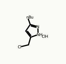 CCCCc1cc(CCl)[nH]n1.Cl